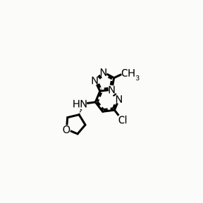 Cc1nnc2c(N[C@@H]3CCOC3)cc(Cl)nn12